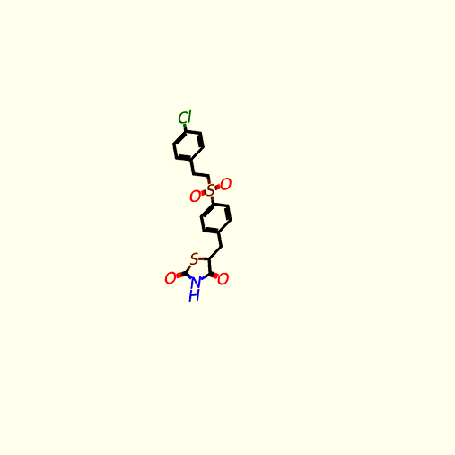 O=C1NC(=O)C(Cc2ccc(S(=O)(=O)CCc3ccc(Cl)cc3)cc2)S1